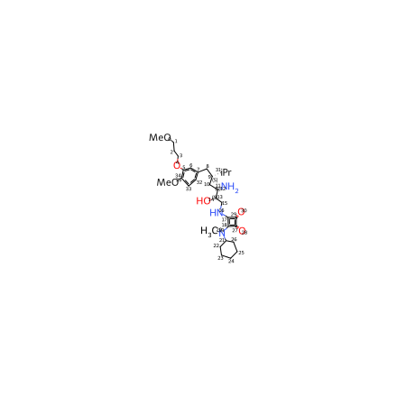 COCCCOc1cc(C[C@@H](C[C@H](N)[C@@H](O)CNc2c(N(C)C3CCCCC3)c(=O)c2=O)C(C)C)ccc1OC